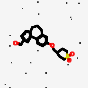 O=Cc1ccc2c(c1)-c1ccc(OCC3CCS(=O)(=O)CC3)cc1CCC2